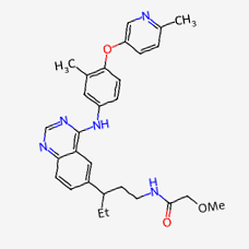 CCC(CCNC(=O)COC)c1ccc2ncnc(Nc3ccc(Oc4ccc(C)nc4)c(C)c3)c2c1